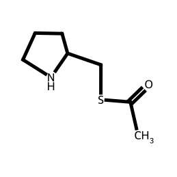 CC(=O)SCC1CCCN1